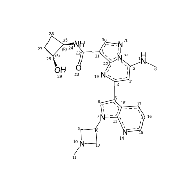 CNc1cc(-c2cn(C3CN(C)C3)c3ncccc23)nc2c(C(=O)N[C@@H]3CC[C@@H]3O)cnn12